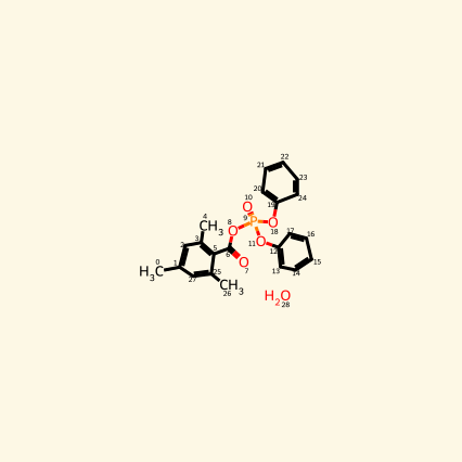 Cc1cc(C)c(C(=O)OP(=O)(Oc2ccccc2)Oc2ccccc2)c(C)c1.O